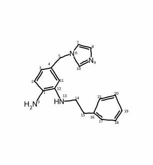 Nc1ccc(Cn2ccnc2)cc1NCCc1ccccc1